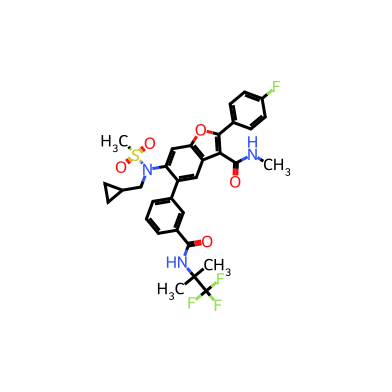 CNC(=O)c1c(-c2ccc(F)cc2)oc2cc(N(CC3CC3)S(C)(=O)=O)c(-c3cccc(C(=O)NC(C)(C)C(F)(F)F)c3)cc12